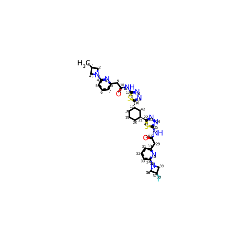 CC1CN(c2cccc(CC(=O)Nc3nnc([C@H]4CCC[C@H](c5nnc(NC(=O)Cc6cccc(N7CC(F)C7)n6)s5)C4)s3)n2)C1